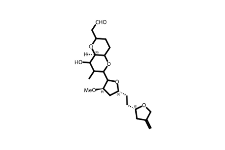 C=C1CO[C@@H](CC[C@@H]2C[C@@H](OC)C(C3OC4CCC(CC=O)O[C@@H]4C(O)C3C)O2)C1